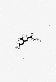 O=C(O)CC(CCC(=O)OP)C(=O)O